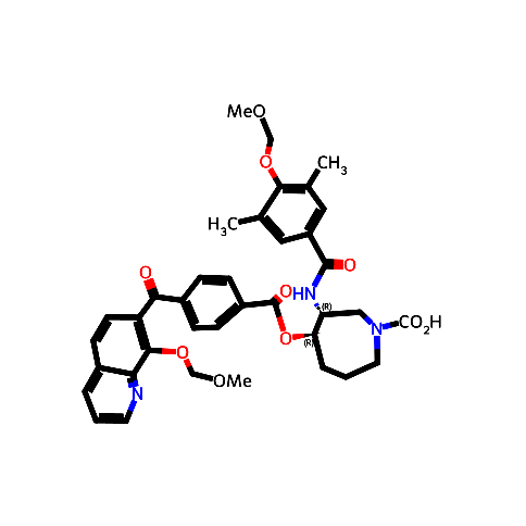 COCOc1c(C)cc(C(=O)N[C@@H]2CN(C(=O)O)CCC[C@H]2OC(=O)c2ccc(C(=O)c3ccc4cccnc4c3OCOC)cc2)cc1C